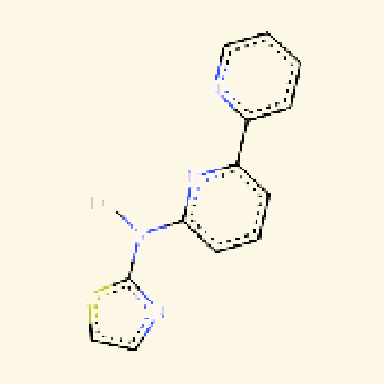 CN(c1cccc(-c2ccccn2)n1)c1nccs1